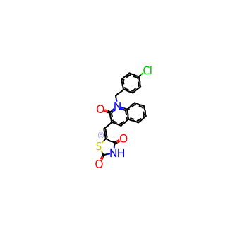 O=C1NC(=O)/C(=C\c2cc3ccccc3n(Cc3ccc(Cl)cc3)c2=O)S1